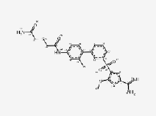 CSc1sc(C(=N)N)cc1S(=O)(=O)c1cccc(-c2ccc(NC(=O)CSCC(N)=O)cc2C)c1